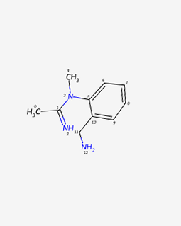 CC(=N)N(C)c1ccccc1CN